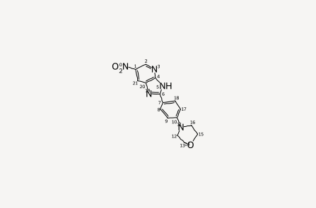 O=[N+]([O-])c1cnc2[nH]c(-c3ccc(N4CCOCC4)cc3)nc2c1